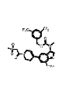 COc1cc(C2=CCN(C(=O)CS(C)(=O)=O)CC2)cc2c(N(C)C(=O)OCc3cc(C(F)(F)F)cc(C(F)(F)F)c3)coc12